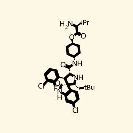 CC(C)[C@H](N)C(=O)O[C@H]1CC[C@H](NC(=O)[C@@H]2N[C@H](CC(C)(C)C)[C@]3(C(=O)Nc4cc(Cl)ccc43)[C@H]2c2cccc(Cl)c2F)CC1